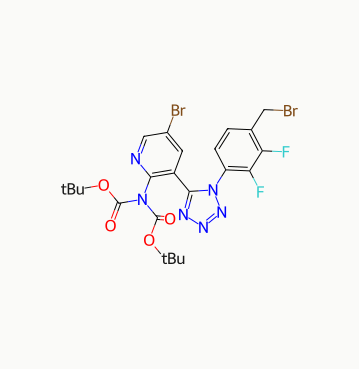 CC(C)(C)OC(=O)N(C(=O)OC(C)(C)C)c1ncc(Br)cc1-c1nnnn1-c1ccc(CBr)c(F)c1F